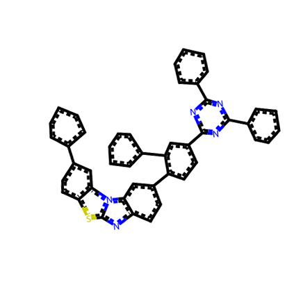 c1ccc(-c2ccc3sc4nc5ccc(-c6ccc(-c7nc(-c8ccccc8)nc(-c8ccccc8)n7)cc6-c6ccccc6)cc5n4c3c2)cc1